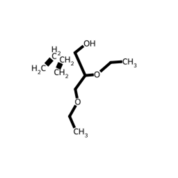 C=C.C=C.CCOCC(CO)OCC